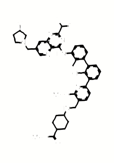 COC(=O)C1CCC(NCc2ccc(-c3cccc(-c4cccc(Nc5nc(C(F)F)nc6cc(CN7CC[C@@H](O)C7)cnc56)c4C)c3Cl)nc2OC)CC1